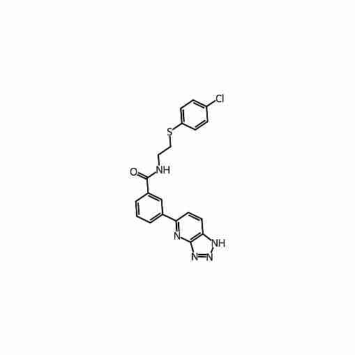 O=C(NCCSc1ccc(Cl)cc1)c1cccc(-c2ccc3[nH]nnc3n2)c1